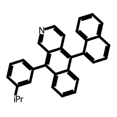 CC(C)c1cccc(-c2c3ccccc3c(-c3cccc4ccccc34)c3ccncc23)c1